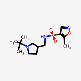 Cc1oncc1S(=O)(=O)NCC1CCN(C(C)(C)C)C1